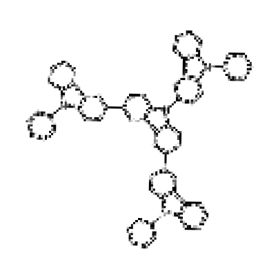 c1ccc(-n2c3ccccc3c3cc(-c4ccc5c(c4)c4cc(-c6ccc7c(c6)c6ccccc6n7-c6ccccc6)ccc4n5-c4ccc5c(c4)c4ccccc4n5-c4ccccc4)ccc32)cc1